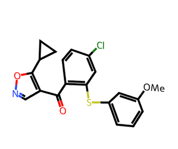 COc1cccc(Sc2cc(Cl)ccc2C(=O)c2cnoc2C2CC2)c1